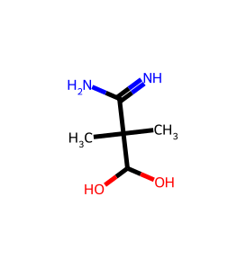 CC(C)(C(=N)N)C(O)O